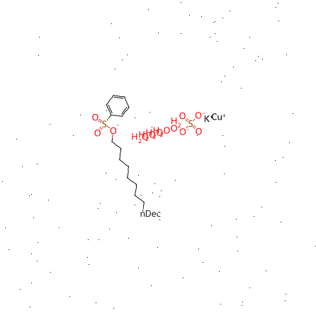 CCCCCCCCCCCCCCCCCCOS(=O)(=O)c1ccccc1.O.O.O.O.O.O=S(=O)([O-])[O-].[Cu+].[K+]